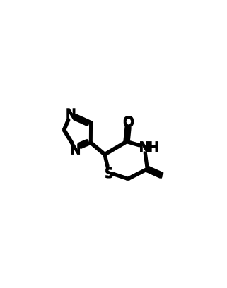 C=C1CSC(C2=NCN=C2)C(=O)N1